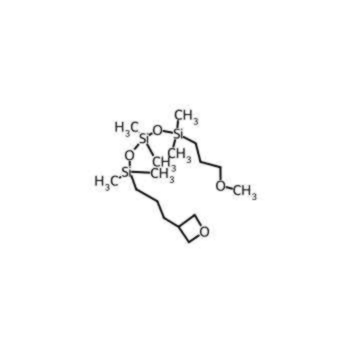 COCCC[Si](C)(C)O[Si](C)(C)O[Si](C)(C)CCCC1COC1